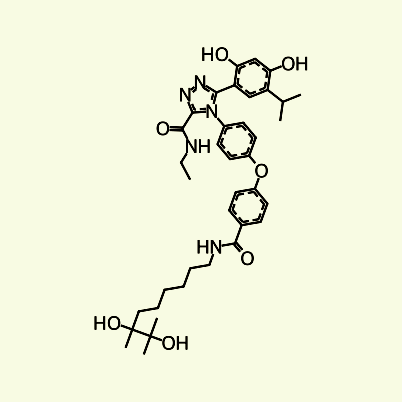 CCNC(=O)c1nnc(-c2cc(C(C)C)c(O)cc2O)n1-c1ccc(Oc2ccc(C(=O)NCCCCCCC(C)(O)C(C)(C)O)cc2)cc1